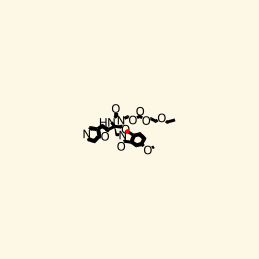 CCOCCOC(=O)OCN1C(=O)N[C@@](CN2Cc3ccc(OC)cc3C2=O)(c2cc3cnccc3o2)C1=O